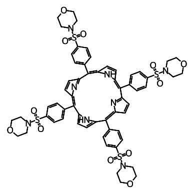 O=S(=O)(c1ccc(-c2c3nc(c(-c4ccc(S(=O)(=O)N5CCOCC5)cc4)c4ccc([nH]4)c(-c4ccc(S(=O)(=O)N5CCOCC5)cc4)c4nc(c(-c5ccc(S(=O)(=O)N6CCOCC6)cc5)c5ccc2[nH]5)C=C4)C=C3)cc1)N1CCOCC1